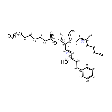 CC(=O)CCC/C(C)=C\C[C@H]1C(C)C[C@@H](OC(=O)CCCCCO[N+](=O)[O-])[C@@H]1/C=C/[C@@H](O)CCc1ccccc1